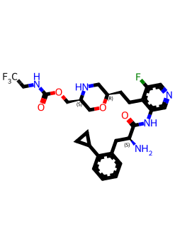 N[C@@H](Cc1ccccc1C1CC1)C(=O)Nc1cncc(F)c1CC[C@@H]1CN[C@H](COC(=O)NCC(F)(F)F)CO1